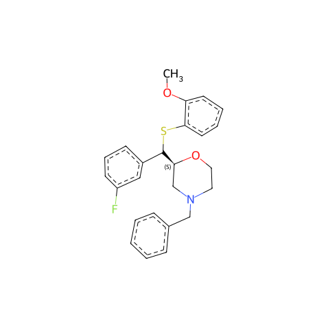 COc1ccccc1SC(c1cccc(F)c1)[C@@H]1CN(Cc2ccccc2)CCO1